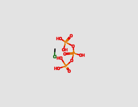 CCl.O=P(O)(O)OP(=O)(O)OP(=O)(O)O